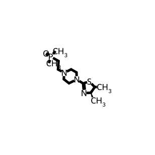 CC1SC(N2CCN(CCP(C)(C)=O)CC2)=N[C@@H]1C